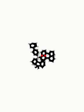 CC1(C)c2ccccc2-c2c(N(c3ccc(-c4cccc5cccc(-c6ccccc6)c45)cc3)c3ccc(C45CCC(CC4)C5)cc3)cccc21